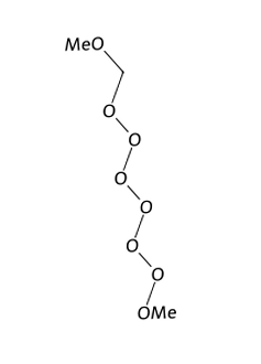 COCOOOOOOOC